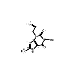 C=CCn1c(=O)n(CCCC)c(=O)c2[nH]c(C)nc21